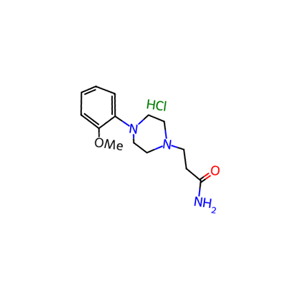 COc1ccccc1N1CCN(CCC(N)=O)CC1.Cl